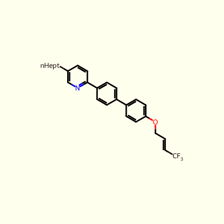 CCCCCCCc1ccc(-c2ccc(-c3ccc(OCC=CC(F)(F)F)cc3)cc2)nc1